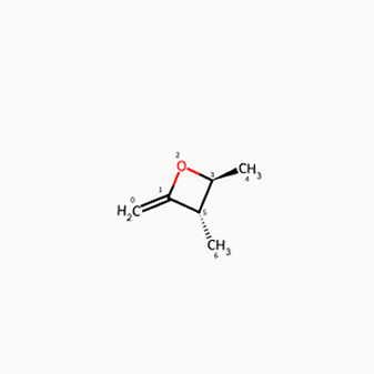 C=C1O[C@@H](C)[C@@H]1C